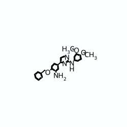 COc1ccc(Nc2nccc(-c3ccc(OCc4ccccc4)c(N)c3)n2)cc1OC